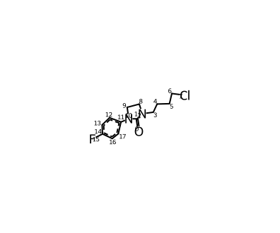 O=C1N(CCCCCl)CCN1c1ccc(F)cc1